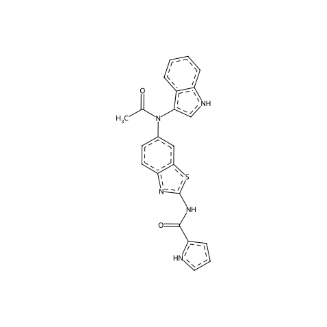 CC(=O)N(c1ccc2nc(NC(=O)c3ccc[nH]3)sc2c1)c1c[nH]c2ccccc12